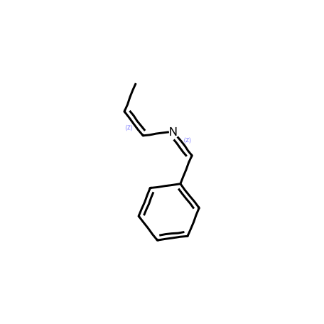 C/C=C\N=C/c1ccccc1